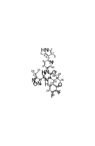 Cc1c[nH]c(C)c1-c1ccc(NC(=O)[C@@H](NC(=O)c2nonc2C(C)C)C2c3ccc(F)c(F)c3OCC23CC3)cn1